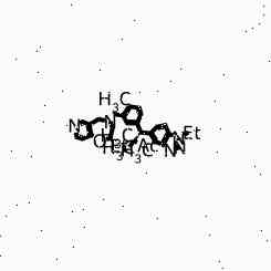 CC[C@@H]1CN(Cc2cc([C@@H](c3ccc4c(nnn4CC)c3C)C(C)(C)C(C)=O)ccc2C)Cc2cnccc2O1